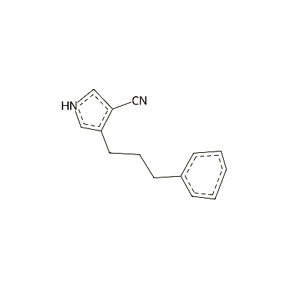 N#Cc1c[nH]cc1CCCc1ccccc1